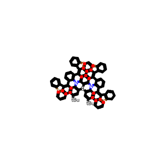 CC(C)(C)c1cc2c(cc1-c1ccccc1)N(c1c(-c3cccc4sc5c(c34)C=CCC5)cccc1-c1cccc3sc4ccccc4c13)c1cc(-c3ccccc3)cc3c1B2c1cc(C(C)(C)C)c(-c2ccccc2)cc1N3c1c(-c2cccc3sc4ccccc4c23)cccc1-c1cccc2sc3ccccc3c12